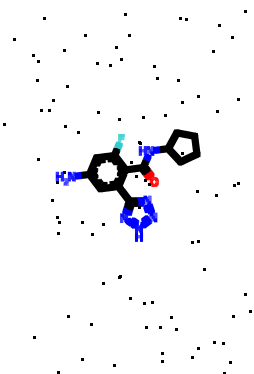 Nc1cc(F)c(C(=O)NC2CCCC2)c(-c2nn[nH]n2)c1